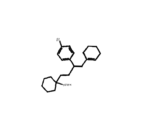 CCCCCCC1(CCC(CC2=CCCCC2)c2ccc(CC)cc2)CCCCC1